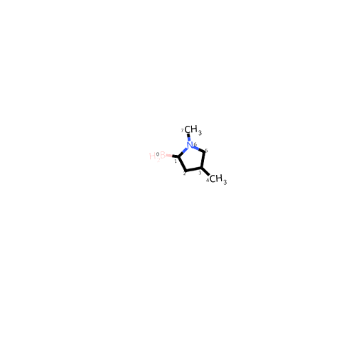 BC1CC(C)CN1C